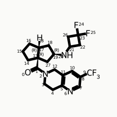 O=C(N1CCc2ncc(C(F)(F)F)cc2C1)[C@@]12CCC[C@@H]1C[C@@H](NC1CC(F)(F)C1)C2